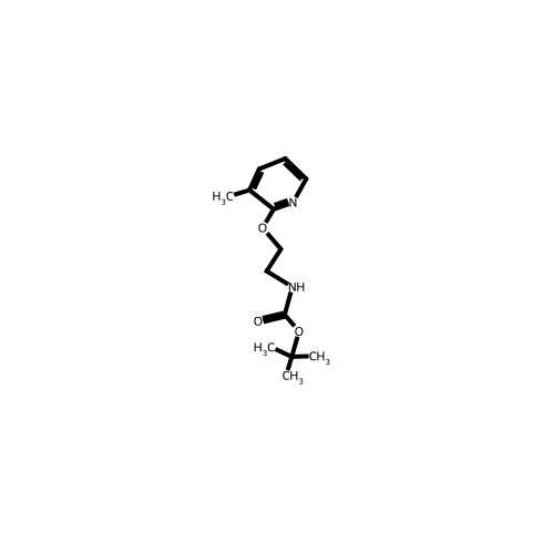 Cc1cccnc1OCCNC(=O)OC(C)(C)C